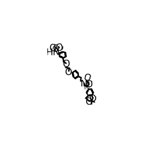 CC1(C)OCc2cc([C@@H]3CN(CCc4ccc(OCCOCc5cccc(NS(C)(=O)=O)c5)cc4)C(=O)O3)ccc2O1